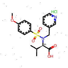 COc1ccc(S(=O)(=O)N(Cc2cccnc2)[C@@H](C(=O)O)C(C)C)cc1.Cl